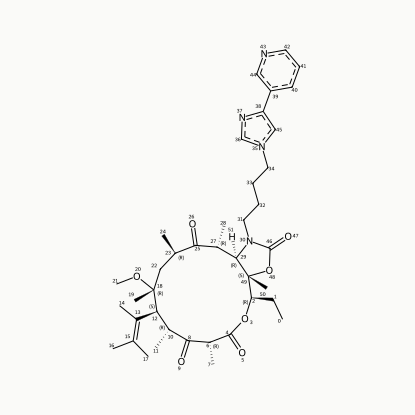 CC[C@H]1OC(=O)[C@H](C)C(=O)[C@H](C)[C@@H](C(C)=C(C)C)[C@](C)(OC)C[C@@H](C)C(=O)[C@H](C)[C@H]2N(CCCCn3cnc(-c4cccnc4)c3)C(=O)O[C@]12C